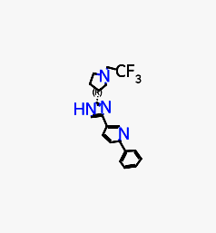 FC(F)(F)CN1CC[C@@H](c2nc(-c3ccc(-c4ccccc4)nc3)c[nH]2)C1